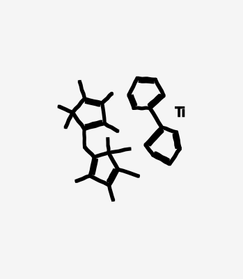 CC1=C(C)C(C)(C)C(CC2=C(C)C(C)=C(C)C2(C)C)=C1C.[Ti].c1ccc(-c2ccccc2)cc1